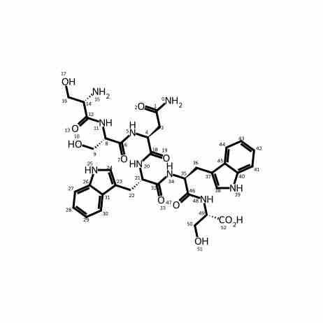 NC(=O)C[C@H](NC(=O)[C@H](CO)NC(=O)[C@@H](N)CO)C(=O)N[C@@H](Cc1c[nH]c2ccccc12)C(=O)N[C@@H](Cc1c[nH]c2ccccc12)C(=O)N[C@@H](CO)C(=O)O